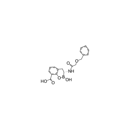 O=C(COCc1ccccc1)N[C@H]1Cc2cccc(C(=O)O)c2OB1O